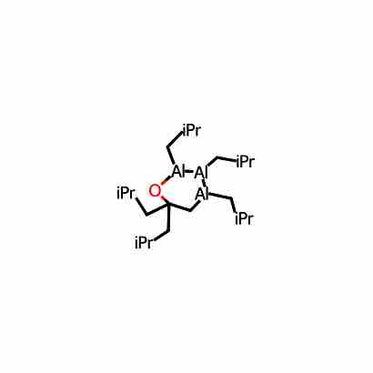 CC(C)[CH2][Al]1[CH2]C(CC(C)C)(CC(C)C)[O][Al]([CH2]C(C)C)[Al]1[CH2]C(C)C